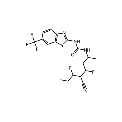 CCC(F)C(C#N)C(F)CC(C)NC(=O)Nc1nc2ccc(C(F)(F)F)cc2s1